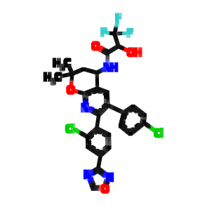 CC1(C)CC(NC(=O)C(O)C(F)(F)F)c2cc(-c3ccc(Cl)cc3)c(-c3ccc(-c4ncon4)cc3Cl)nc2O1